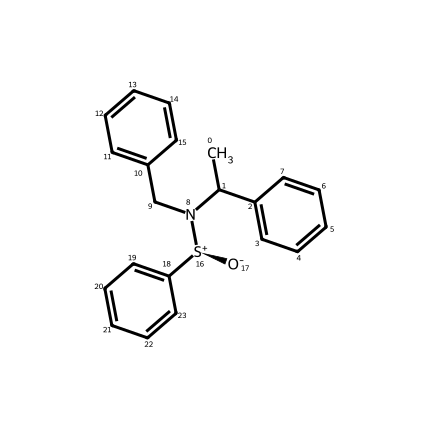 CC(c1ccccc1)N(Cc1ccccc1)[S@@+]([O-])c1ccccc1